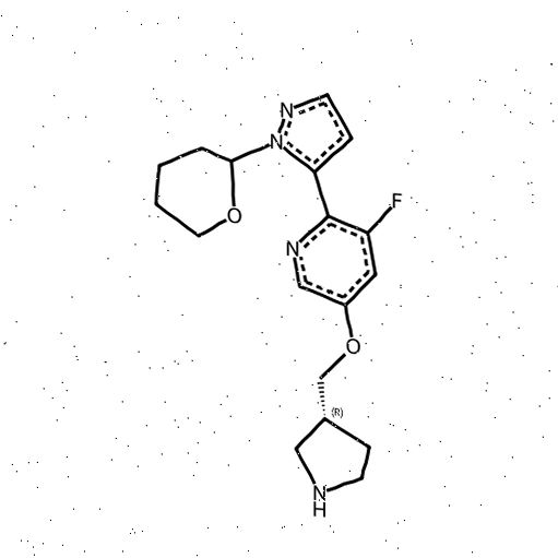 Fc1cc(OC[C@@H]2CCNC2)cnc1-c1ccnn1C1CCCCO1